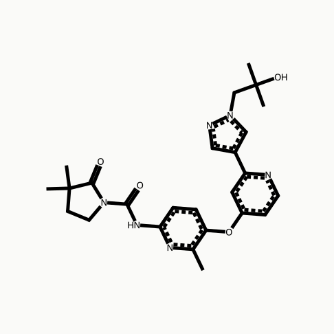 Cc1nc(NC(=O)N2CCC(C)(C)C2=O)ccc1Oc1ccnc(-c2cnn(CC(C)(C)O)c2)c1